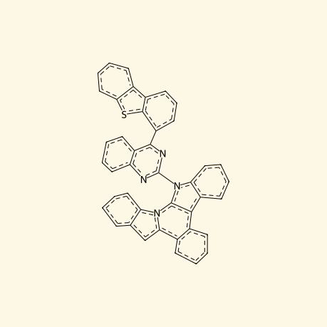 c1ccc2c(c1)cc1c3ccccc3c3c4ccccc4n(-c4nc(-c5cccc6c5sc5ccccc56)c5ccccc5n4)c3n21